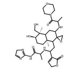 CC(NC(CC1C2(CO2)C(NC(C)C(=O)N2CCOCC2)CC2[C@]1(C)CC[C@@H](O)[C@@]2(C)CO)C1=CCOC1=O)C(=O)NC1=NCC=N1